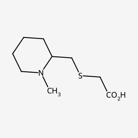 CN1CCCCC1CSCC(=O)O